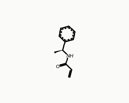 C=CC(=O)N[C@@H](C)c1ccccc1